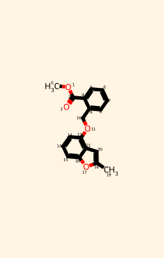 COC(=O)c1ccccc1COc1cccc2oc(C)cc12